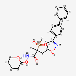 CC(CC1CC(c2ccc(-c3ccccc3)cc2)=NO1)(C(=O)NOC1CCCCO1)S(C)(=O)=O